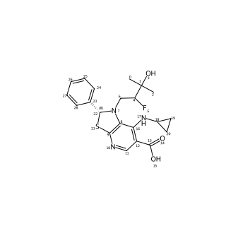 CC(C)(O)C(F)CN1c2c(ncc(C(=O)O)c2NC2CC2)S[C@@H]1c1ccccc1